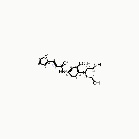 O=C(/C=C/c1cccs1)Nc1ccc(N(CCO)CCO)c(C(=O)O)c1